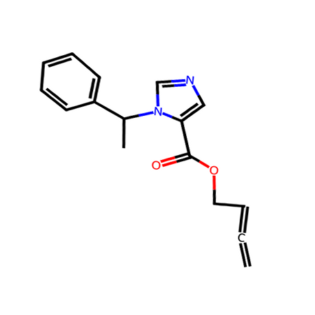 C=C=CCOC(=O)c1cncn1C(C)c1ccccc1